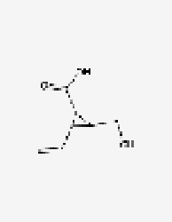 C=CC1C(CO)C1C(=O)O